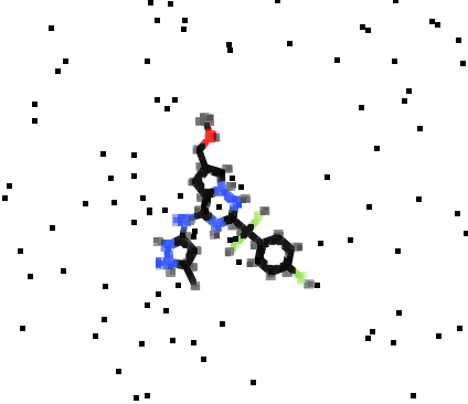 CCOCc1cc2c(Nc3cc(C)[nH]n3)nc(C(F)(F)c3ccc(F)cc3)nn2c1